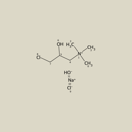 C[N+](C)(C)CC(O)CCl.[Cl-].[Na+].[OH-]